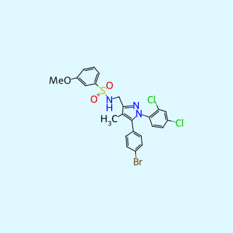 COc1cccc(S(=O)(=O)NCc2nn(-c3ccc(Cl)cc3Cl)c(-c3ccc(Br)cc3)c2C)c1